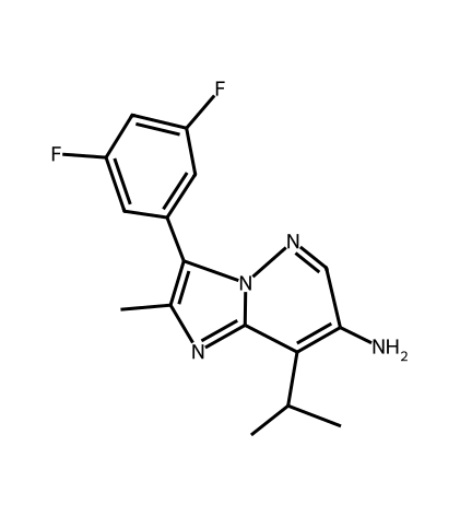 Cc1nc2c(C(C)C)c(N)cnn2c1-c1cc(F)cc(F)c1